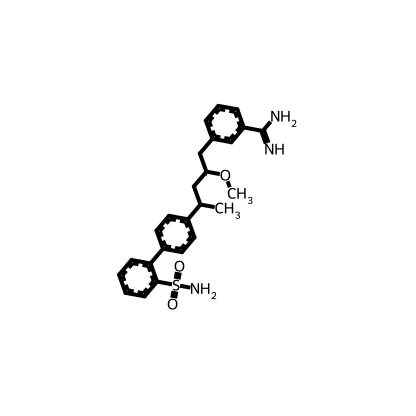 CO[C](Cc1cccc(C(=N)N)c1)CC(C)c1ccc(-c2ccccc2S(N)(=O)=O)cc1